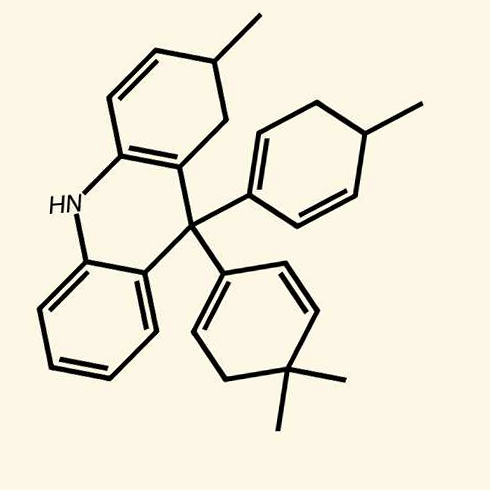 CC1C=CC(C2(C3=CCC(C)(C)C=C3)C3=C(C=CC(C)C3)Nc3ccccc32)=CC1